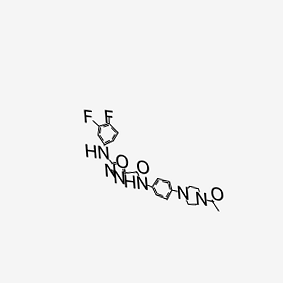 CC(=O)N1CCN(c2ccc(NC(=O)c3nnc(Nc4ccc(F)c(F)c4)o3)cc2)CC1